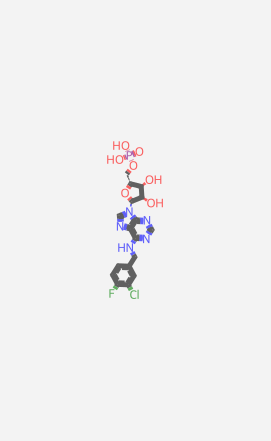 O=P(O)(O)OC[C@H]1O[C@@H](n2cnc3c(NCc4ccc(F)c(Cl)c4)ncnc32)[C@H](O)[C@@H]1O